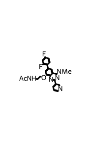 CNc1nc(-c2cccnc2)nc2c(OCCNC(C)=O)cc(-c3ccc(F)cc3F)cc12